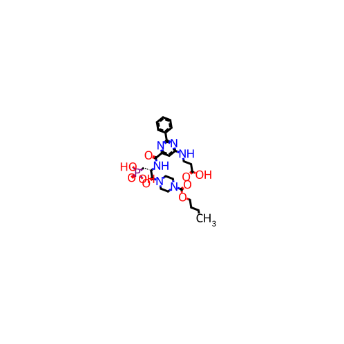 CCCCOC(=O)N1CCN(C(=O)[C@H](CP(=O)(O)O)NC(=O)c2cc(NCCC(=O)O)nc(-c3ccccc3)n2)CC1